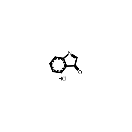 Cl.O=C1C=Nc2ccccc21